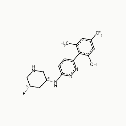 Cc1cc(C(F)(F)F)cc(O)c1-c1ccc(N[C@H]2CNC[C@@H](F)C2)nn1